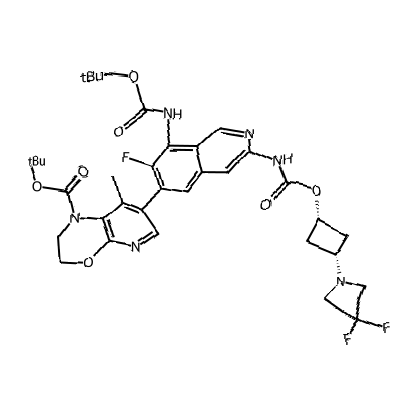 Cc1c(-c2cc3cc(NC(=O)O[C@H]4C[C@@H](N5CC(F)(F)C5)C4)ncc3c(NC(=O)OC(C)(C)C)c2F)cnc2c1N(C(=O)OC(C)(C)C)CCO2